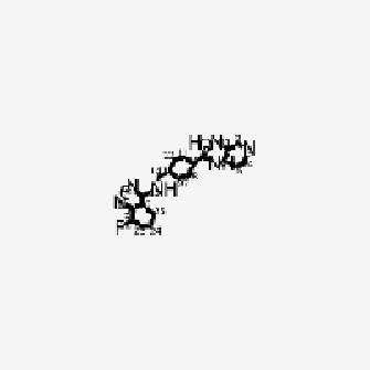 Nc1cnccc1NC(=O)c1ccc(CNc2ncnc3c(F)cccc23)cc1